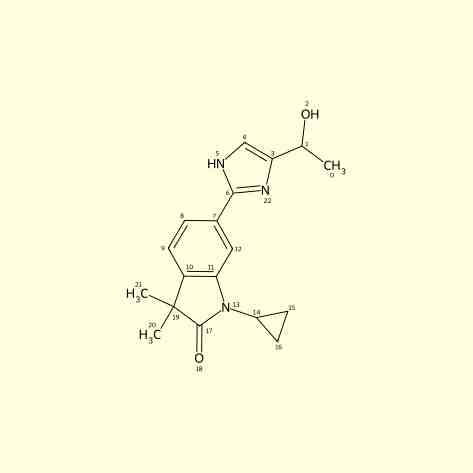 CC(O)c1c[nH]c(-c2ccc3c(c2)N(C2CC2)C(=O)C3(C)C)n1